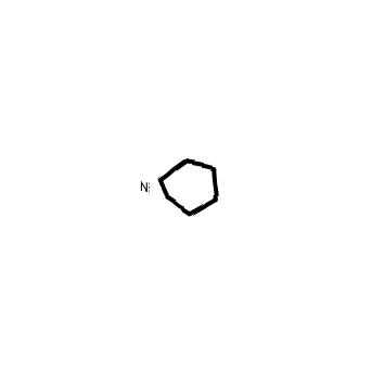 C1CCCCC1.[N]